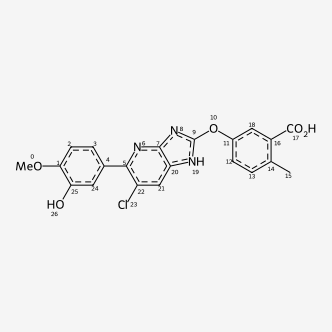 COc1ccc(-c2nc3nc(Oc4ccc(C)c(C(=O)O)c4)[nH]c3cc2Cl)cc1O